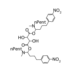 CCCCCN(C)C(CCCc1ccc([N+](=O)[O-])cc1)OC(=O)C(O)C(O)C(=O)OC(CCCc1ccc([N+](=O)[O-])cc1)N(C)CCCCC